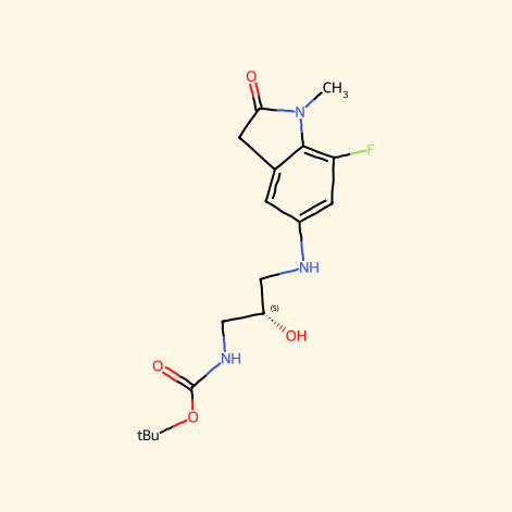 CN1C(=O)Cc2cc(NC[C@H](O)CNC(=O)OC(C)(C)C)cc(F)c21